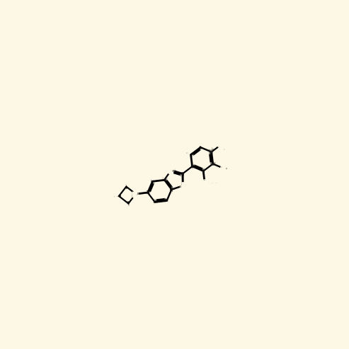 COc1c(-c2nc3cc(N4CCC4)ccc3[nH]2)ccc(C(=O)O)c1O